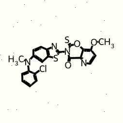 COc1ccnc2c(=O)n(-c3nc4ccc(N(C)c5ccccc5Cl)cc4s3)c(=S)oc12